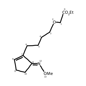 CCOC(=O)COCCCCC1=CCCC1=NOC